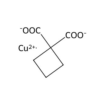 O=C([O-])C1(C(=O)[O-])CCC1.[Cu+2]